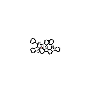 c1ccc(-c2nc(-c3ccccc3-n3c4ccccc4c4ccc5c6ccccc6n(-c6ccccc6)c5c43)nc3sc4ccccc4c23)cc1